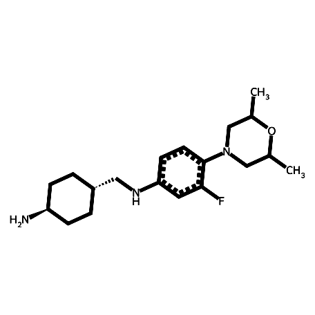 CC1CN(c2ccc(NC[C@H]3CC[C@H](N)CC3)cc2F)CC(C)O1